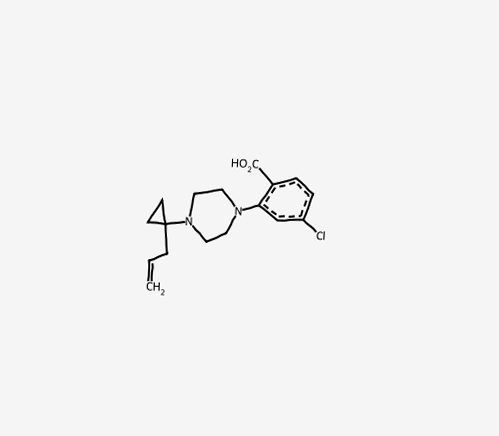 C=CCC1(N2CCN(c3cc(Cl)ccc3C(=O)O)CC2)CC1